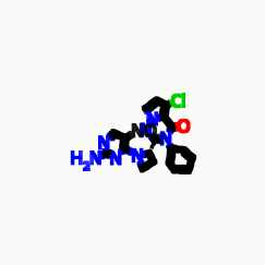 Nc1ncc([N+](=O)[O-])c(N2CC[C@H]2c2nn3ccc(Cl)c3c(=O)n2-c2ccccc2)n1